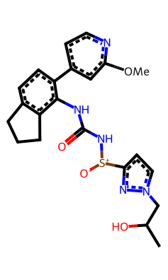 COc1cc(-c2ccc3c(c2NC(=O)N[S+]([O-])c2ccn(CC(C)O)n2)CCC3)ccn1